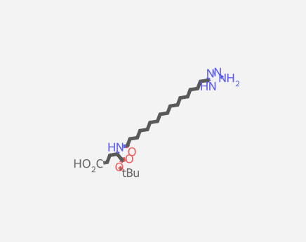 CC(C)(C)OC(=O)C(CCC(=O)O)NC(=O)CCCCCCCCCCCCCCCC(=N)/N=N\N